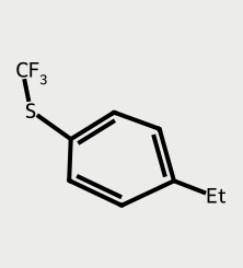 [CH2]Cc1ccc(SC(F)(F)F)cc1